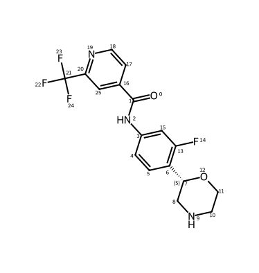 O=C(Nc1ccc([C@H]2CNCCO2)c(F)c1)c1ccnc(C(F)(F)F)c1